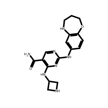 NC(=O)c1cnc(Nc2ccc3c(c2)NCCCO3)nc1NC1CNC1